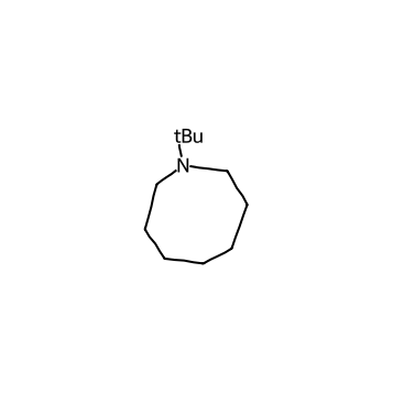 CC(C)(C)N1CCCCCCC1